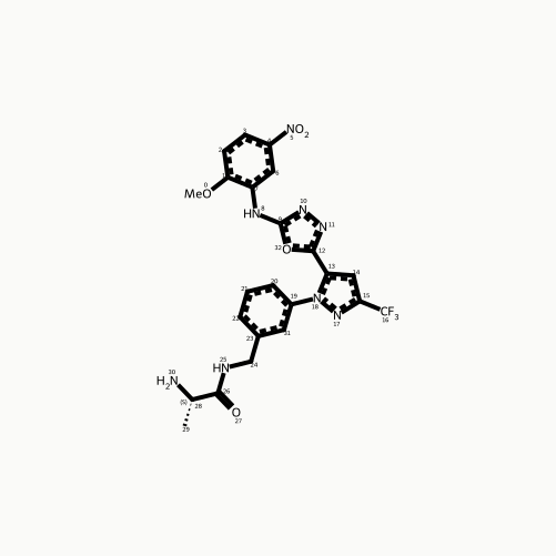 COc1ccc([N+](=O)[O-])cc1Nc1nnc(-c2cc(C(F)(F)F)nn2-c2cccc(CNC(=O)[C@H](C)N)c2)o1